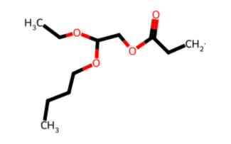 [CH2]CC(=O)OCC(OCC)OCCCC